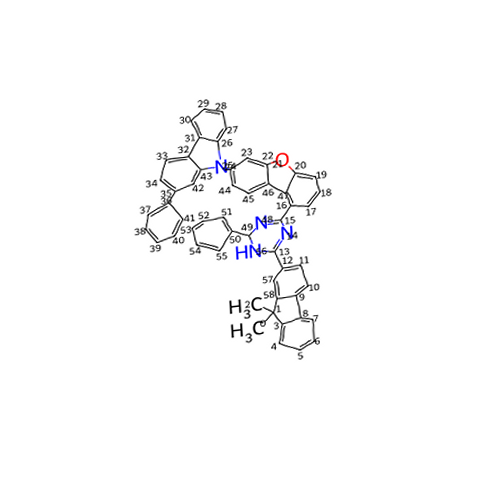 CC1(C)c2ccccc2-c2ccc(C3=NC(c4cccc5oc6cc(-n7c8ccccc8c8ccc(-c9ccccc9)cc87)ccc6c45)=NC(c4ccccc4)N3)cc21